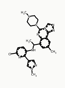 Cc1cc(C(C)Nc2ccc(Cl)nc2-c2cnn(C)c2)c2nc(N3CCN(C)CC3)n3cnnc3c2c1